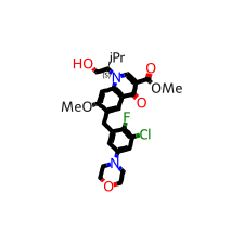 COC(=O)c1cn([C@H](CO)C(C)C)c2cc(OC)c(Cc3cc(N4CCOCC4)cc(Cl)c3F)cc2c1=O